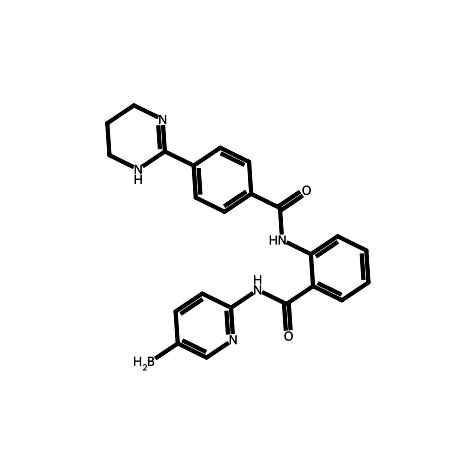 Bc1ccc(NC(=O)c2ccccc2NC(=O)c2ccc(C3=NCCCN3)cc2)nc1